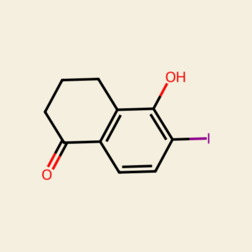 O=C1CCCc2c1ccc(I)c2O